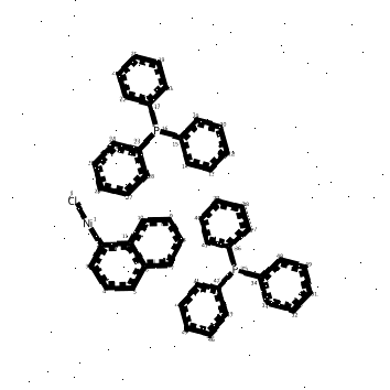 [Cl][Ni][c]1cccc2ccccc12.c1ccc(P(c2ccccc2)c2ccccc2)cc1.c1ccc(P(c2ccccc2)c2ccccc2)cc1